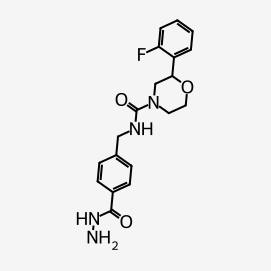 NNC(=O)c1ccc(CNC(=O)N2CCOC(c3ccccc3F)C2)cc1